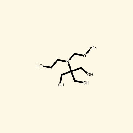 CCCOCN(CCO)C(CO)(CO)CO